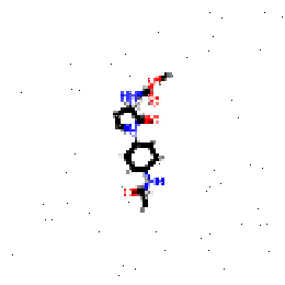 COC(=O)N[C@@H]1CCN([C@H]2CC[C@H](NC(C)=O)CC2)C1=O